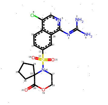 NC(N)=Nc1ncc(Cl)c2ccc(S(=O)(=O)N3CCOC(=O)C34CCCC4)cc12